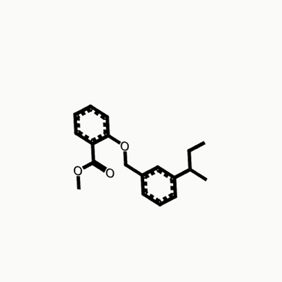 CCC(C)c1cccc(COc2ccccc2C(=O)OC)c1